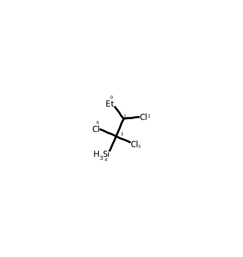 CCC(Cl)C([SiH3])(Cl)Cl